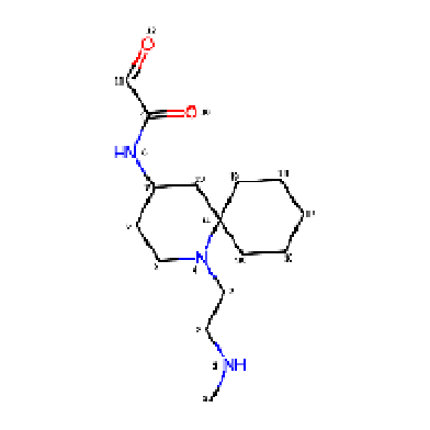 CNCCN1CCC(NC(=O)C=O)CC12CCCCC2